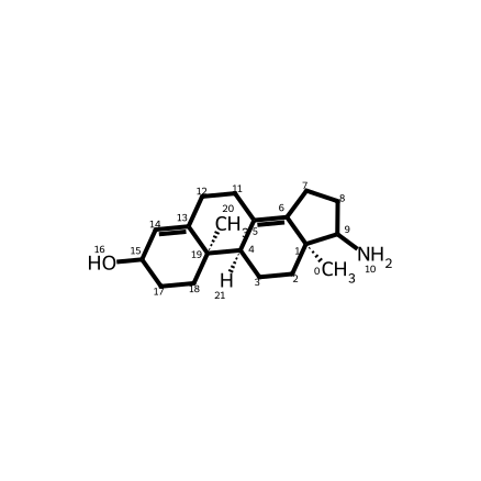 C[C@]12CC[C@@H]3C(=C1CCC2N)CCC1=CC(O)CC[C@@]13C